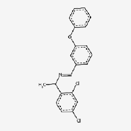 CC(N=Cc1cccc(Oc2ccccc2)c1)c1ccc(Cl)cc1Cl